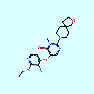 CCOc1nccc(Sc2cnc(N3CCC4(CCOC4)CC3)n(C)c2=O)c1Cl